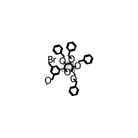 COCc1cc(CBr)cc([C@@H]2O[C@H](COCc3ccccc3)[C@@H](OCc3ccccc3)[C@H](OCc3ccccc3)[C@H]2OCc2ccccc2)c1